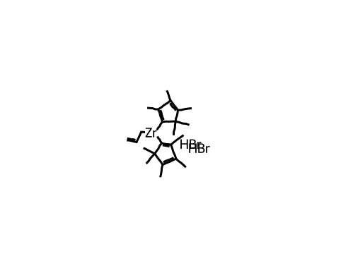 Br.Br.C=C[CH2][Zr]([C]1=C(C)C(C)=C(C)C1(C)C)[C]1=C(C)C(C)=C(C)C1(C)C